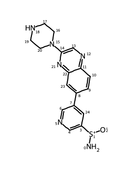 N[S+]([O-])c1cncc(-c2ccc3ncc(N4CCNCC4)nc3c2)c1